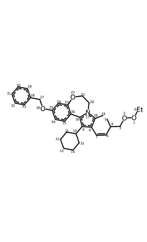 CCOOCC(C)/C=C\c1c(C2CCCCC2)c2n(c1C)CCOc1cc(OCc3ccccc3)ccc1-2